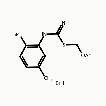 Br.CC(=O)OCSC(=N)Nc1cc(C)ccc1C(C)C